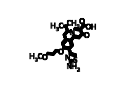 COCCCOc1cc2c(cc1-c1csc(N)n1)-c1cc(=O)c(C(=O)O)cn1C(C(C)C)C2